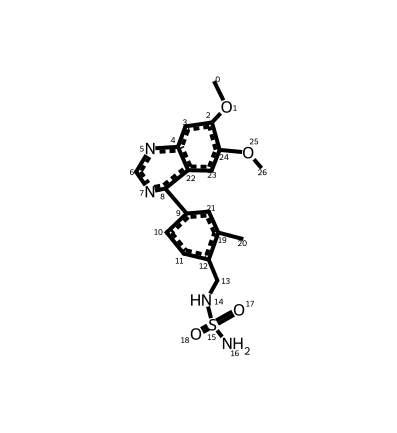 COc1cc2ncnc(-c3ccc(CNS(N)(=O)=O)c(C)c3)c2cc1OC